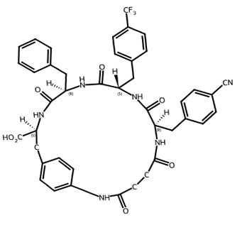 N#Cc1ccc(C[C@H]2NC(=O)CCC(=O)Nc3ccc(cc3)C[C@@H](C(=O)O)NC(=O)[C@@H](Cc3ccccc3)NC(=O)[C@H](Cc3ccc(C(F)(F)F)cc3)NC2=O)cc1